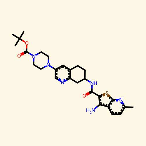 Cc1ccc2c(N)c(C(=O)NC3CCc4cc(N5CCN(C(=O)OC(C)(C)C)CC5)cnc4C3)sc2n1